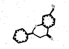 [2H]c1ccc2c(c1)OC(c1ccccc1)CC2=O